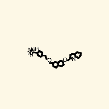 c1ccc2nc(COc3ccc4ccc(COCCc5ccc(-c6nnn[nH]6)cc5)cc4c3)ccc2c1